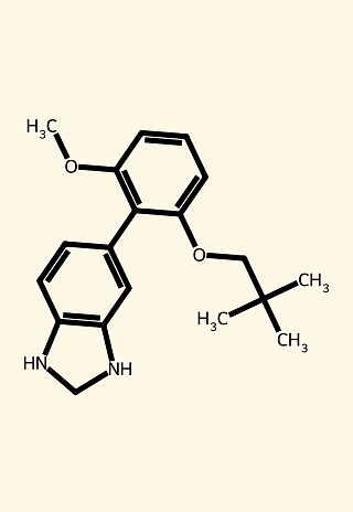 COc1cccc(OCC(C)(C)C)c1-c1ccc2c(c1)NCN2